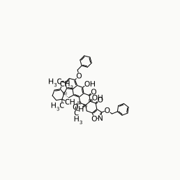 CO[C@@H]1c2c(c(O)c3c(OCc4ccccc4)cc(C)c4c3c2C[C@]42C(C)=CCCC2(C)C)C(=O)[C@]2(O)C(=O)c3c(OCc4ccccc4)noc3C[C@H]12